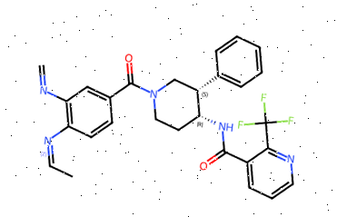 C=Nc1cc(C(=O)N2CC[C@@H](NC(=O)c3cccnc3C(F)(F)F)[C@@H](c3ccccc3)C2)ccc1/N=C\C